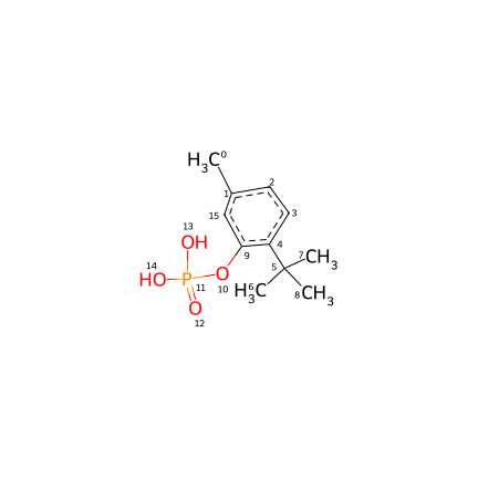 Cc1ccc(C(C)(C)C)c(OP(=O)(O)O)c1